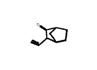 C=CC1C(=O)C2CCC1C2